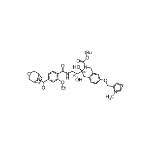 CCOc1cc(C(=O)N2C3CCC2COC3)ccc1C(=O)NC[C@@H](O)[C@@]1(O)Cc2ccc(OCc3cncn3C)cc2CN1C(=O)OC(C)(C)C